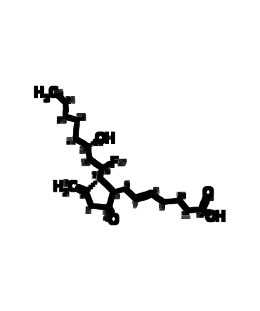 C=C1CC(=O)[C@H](CC=CCCCC(=O)O)[C@H]1[C@H](F)C[C@@H](O)CCCCC